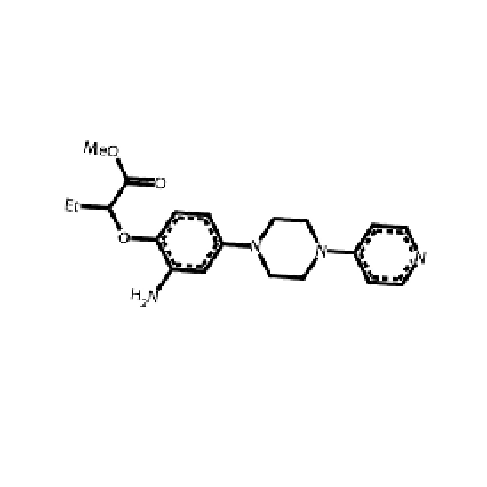 CCC(Oc1ccc(N2CCN(c3ccncc3)CC2)cc1N)C(=O)OC